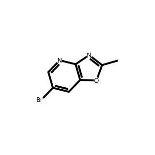 Cc1nc2ncc(Br)cc2o1